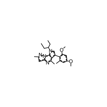 CCC(CC)n1cc(-c2c(C)cc(OC)cc2OC)c2c(C)nc3cc(C)nn3c21